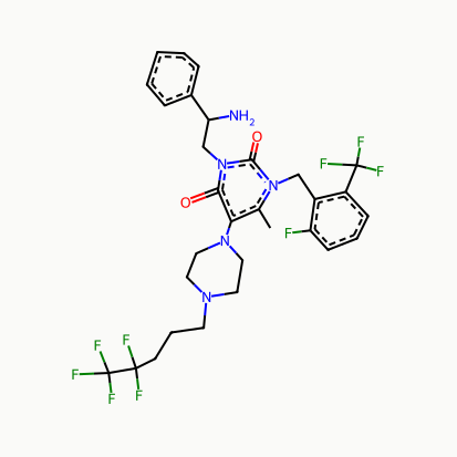 Cc1c(N2CCN(CCCC(F)(F)C(F)(F)F)CC2)c(=O)n(CC(N)c2ccccc2)c(=O)n1Cc1c(F)cccc1C(F)(F)F